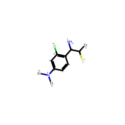 CCC(S)C(N)c1ccc(N(CC)CC)cc1Cl